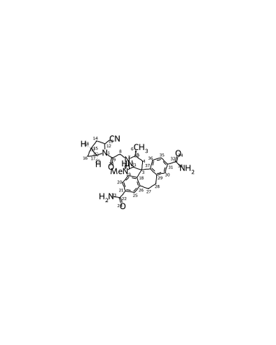 CNC(=N)C1(C[C@H](C)NCC(=O)N2C(C#N)C[C@@H]3C[C@@H]32)c2ccc(C(N)=O)cc2CCc2cc(C(N)=O)ccc21